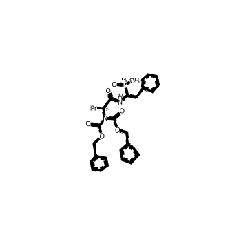 CC(C)[C@@H](C(=O)NC(Cc1ccccc1)[PH](=O)O)N(C(=O)OCc1ccccc1)C(=O)OCc1ccccc1